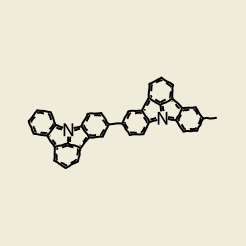 Cc1ccc2c(c1)c1cccc3c4cc(-c5ccc6c(c5)c5cccc7c8ccccc8n6c75)ccc4n2c13